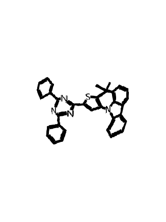 CC1(C)c2sc(-c3nc(-c4ccccc4)nc(-c4ccccc4)n3)cc2-n2c3ccccc3c3cccc1c32